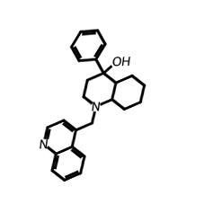 OC1(c2ccccc2)CCN(Cc2ccnc3ccccc23)C2CCCCC21